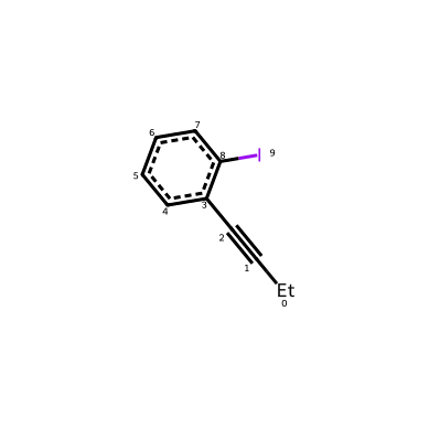 CCC#Cc1ccccc1I